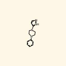 c1ccc(N2CCN(c3ccn[nH]3)CC2)cc1